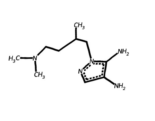 CC(CCN(C)C)Cn1ncc(N)c1N